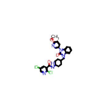 COc1ccc(-n2c(=O)n(CC3CCC(NC(=O)c4cc(Cl)cnc4Cl)CC3)c3ccccc32)cn1